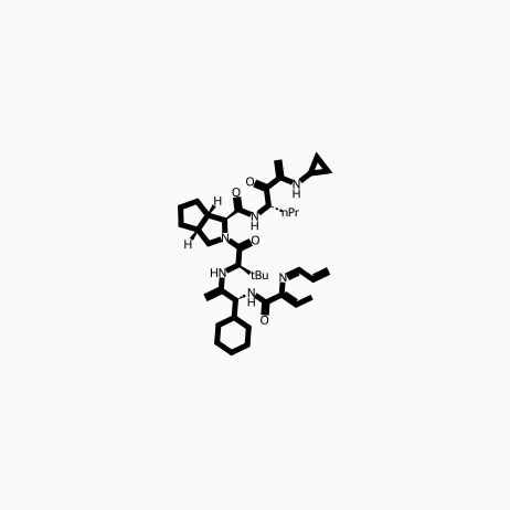 C=C/C=N\C(=C/C)C(=O)N[C@@H](C(=C)N[C@@H](C(=O)N1C[C@@H]2CCC[C@@H]2[C@H]1C(=O)N[C@@H](CCC)C(=O)C(=C)NC1CC1)C(C)(C)C)C1CCCCC1